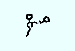 CCCCN1CC[C@H](c2ccccc2)[C@@H](CNCCc2ccccc2)C1